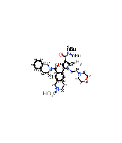 CCCCN(CCCC)C(=O)c1cc(-c2cc3c(cc2C(=O)N2Cc4ccccc4C[C@H]2C)CN(C(=O)O)CC3)n(CCN2CCOCC2)c1C